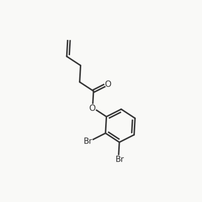 C=CCCC(=O)Oc1cccc(Br)c1Br